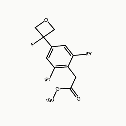 CC(C)c1cc(C2(F)COC2)cc(C(C)C)c1CC(=O)OC(C)(C)C